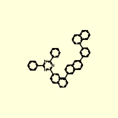 c1ccc(-c2nc(-c3ccccc3)nc(-c3ccc4cccc(-c5ccc6cc(-c7cccc(-c8cccc9ccccc89)c7)ccc6c5)c4c3)n2)cc1